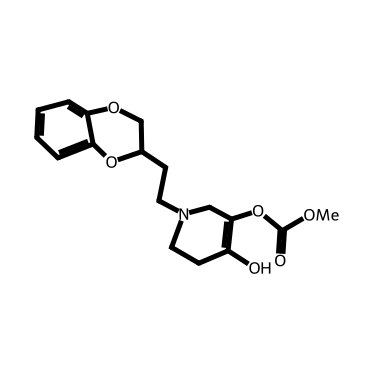 COC(=O)OC1=C(O)CCN(CCC2COc3ccccc3O2)C1